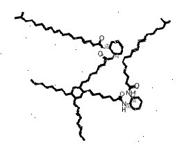 CCCCCCCCC1CC(CCCCCCC(=O)C[C@@H]2CCCC[C@H]2CC(=O)CCCCCCCCCCCCCCCC(C)C)C(CCCCCCC(=O)N[C@H]2CCCC[C@@H]2NC(=O)CCCCCCCCCCCCCCCC(C)C)CC1CCCCCCCC